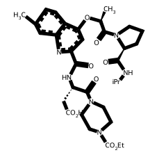 CCOC(=O)N1CCN(C(=O)[C@H](CC(=O)O)NC(=O)c2cc(O[C@@H](C)C(=O)N3CCC[C@H]3C(=O)NC(C)C)c3ccc(C)cc3n2)CC1